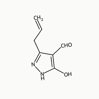 C=CCc1n[nH]c(O)c1C=O